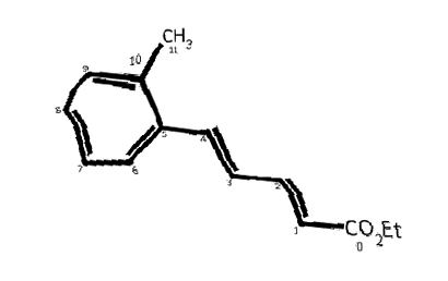 CCOC(=O)/C=C/C=C/c1ccccc1C